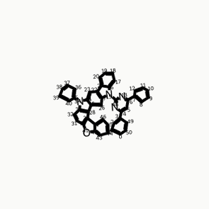 c1ccc(-c2cc(-c3ccccc3)nc(-n3c4ccccc4c4cc5c(cc43)c3c4c(ccc3n5-c3ccccc3)oc3ccccc34)n2)cc1